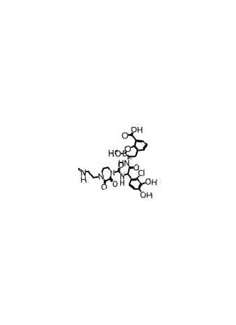 CNCCN1CCN(C(=O)NC(C(=O)N[C@H]2Cc3cccc(C(=O)O)c3OB2O)c2ccc(O)c(O)c2Cl)C(=O)C1=O